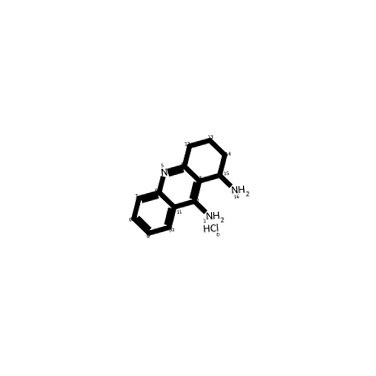 Cl.Nc1c2c(nc3ccccc13)CCCC2N